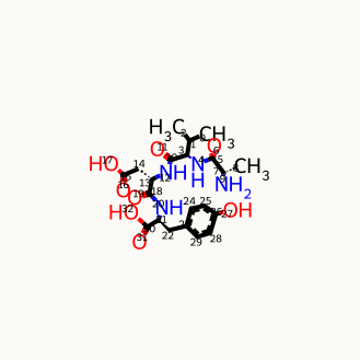 CC(C)[C@H](NC(=O)[C@H](C)N)C(=O)N[C@@H](CC(=O)O)C(=O)N[C@@H](Cc1ccc(O)cc1)C(=O)O